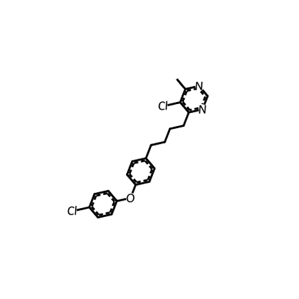 Cc1ncnc(CCCCc2ccc(Oc3ccc(Cl)cc3)cc2)c1Cl